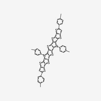 Cc1ccc(-c2cc3sc4c(sc5c6sc7c(sc8c9sc%10c%11sc(-c%12ccc(C)cc%12)cc%11sc%10c9n(-c9ccc(C)cc9)c87)c6n(-c6ccc(C)cc6)c45)c3s2)cc1